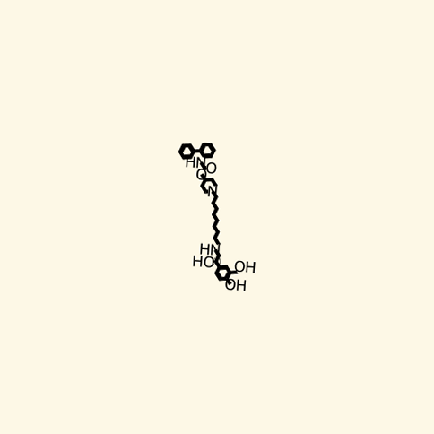 O=C(Nc1ccccc1-c1ccccc1)OC1CCN(CCCCCCCCCNC[C@@H](O)c2ccc(O)c(CO)c2)CC1